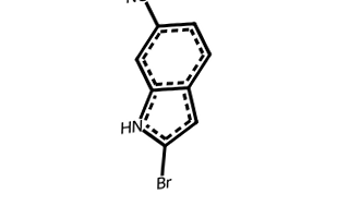 N#Cc1ccc2cc(Br)[nH]c2c1